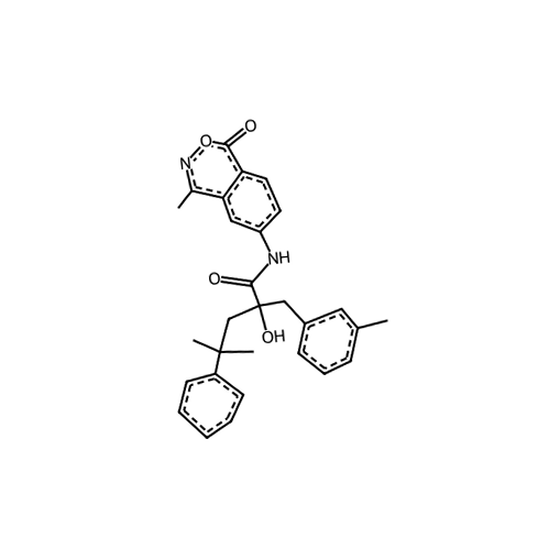 Cc1cccc(CC(O)(CC(C)(C)c2ccccc2)C(=O)Nc2ccc3c(=O)onc(C)c3c2)c1